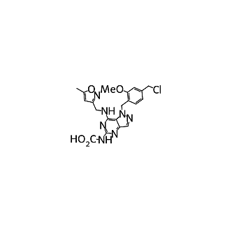 COc1cc(CCl)ccc1Cn1ncc2nc(NC(=O)O)nc(NCc3cc(C)on3)c21